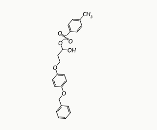 Cc1ccc(S(=O)(=O)OC(O)CCOc2ccc(OCc3ccccc3)cc2)cc1